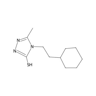 Cc1nnc(S)n1CCC1CCCCC1